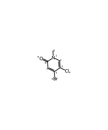 Cn1cc(Cl)c(Br)cc1=O